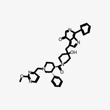 COc1nccc(CN2CC[C@@H](C(=O)N3CCC(O)(CC4=C5C(=O)C=NC(c6ccccc6)=C5N=C4)CC3)[C@H](c3ccccc3)C2)n1